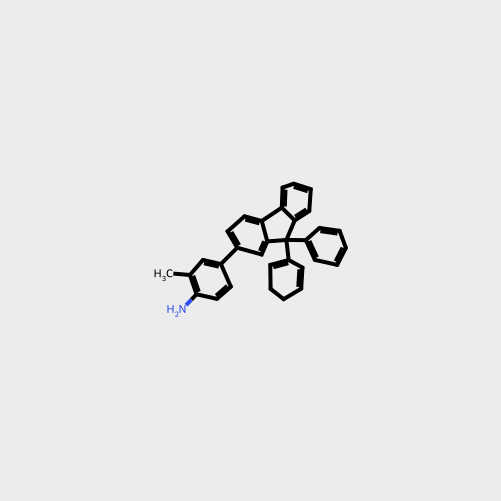 Cc1cc(-c2ccc3c(c2)C(C2=CCCC=C2)(c2ccccc2)c2ccccc2-3)ccc1N